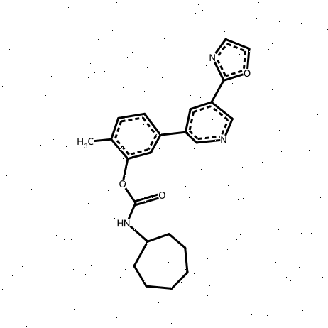 Cc1ccc(-c2cncc(-c3ncco3)c2)cc1OC(=O)NC1CCCCCC1